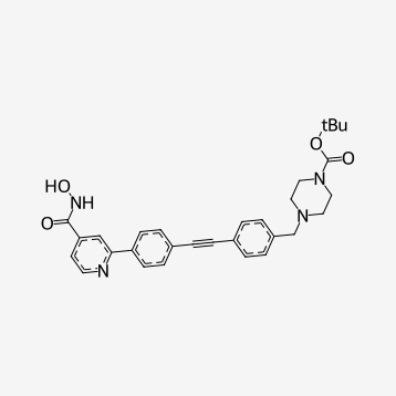 CC(C)(C)OC(=O)N1CCN(Cc2ccc(C#Cc3ccc(-c4cc(C(=O)NO)ccn4)cc3)cc2)CC1